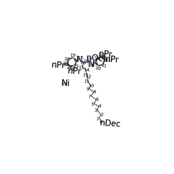 CCCCCCCCCCCCCCCCCCCCCCCCCC(=N\c1ccc(CCC)c(CCC)c1)/C(CCCCCCCC)=N/c1ccc(CCC)c(CCC)c1.[Ni]